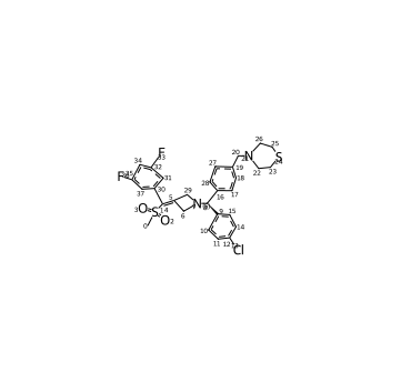 CS(=O)(=O)C(=C1CN([C@H](c2ccc(Cl)cc2)c2ccc(CN3CCSCC3)cc2)C1)c1cc(F)cc(F)c1